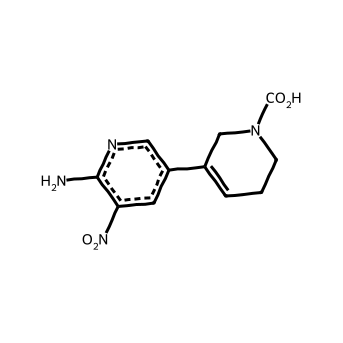 Nc1ncc(C2=CCCN(C(=O)O)C2)cc1[N+](=O)[O-]